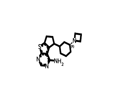 Nc1ncnc2sc3c(c12)C(C1CCC[C@@H](N2CCC2)C1)CC3